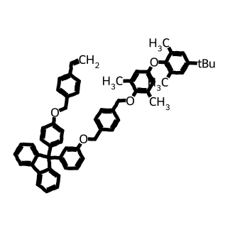 C=Cc1ccc(COc2ccc(C3(c4cccc(OCc5ccc(COc6c(C)cc(Oc7c(C)cc(C(C)(C)C)cc7C)cc6C)cc5)c4)c4ccccc4-c4ccccc43)cc2)cc1